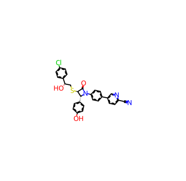 N#Cc1ccc(-c2ccc(N3C(=O)[C@H](SC[C@H](O)c4ccc(Cl)cc4)[C@H]3c3ccc(O)cc3)cc2)cn1